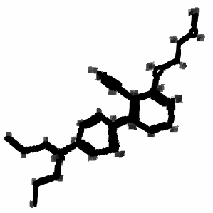 CCCN(CCC)c1ccc(-c2ccnc(OCCOC)c2C#N)cc1